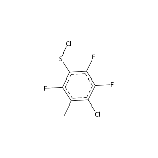 Cc1c(F)c(SCl)c(F)c(F)c1Cl